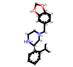 CC(C)c1ccccc1[C@@H]1CN(Cc2ccc3c(c2)OCO3)CCN1